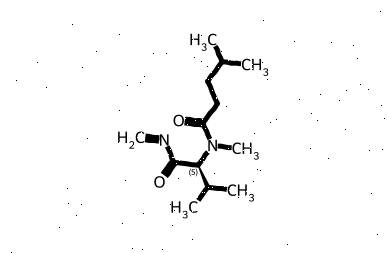 C=NC(=O)[C@H](C(C)C)N(C)C(=O)CCC(C)C